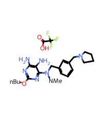 CCCCOc1nc(N)c(N)c(N(Cc2cccc(CN3CCCC3)c2)NC)n1.O=C(O)C(F)(F)F